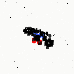 CN(CCc1ccccc1)c1c(NC[C@H](Cc2ccccc2)N(C)C)c(=O)c1=O